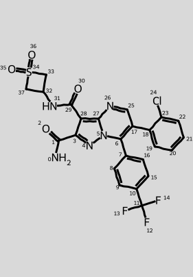 NC(=O)c1nn2c(-c3ccc(C(F)(F)F)cc3)c(-c3ccccc3Cl)cnc2c1C(=O)NC1CS(=O)(=O)C1